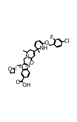 CC1CC(C2(C)C=CC=C(OCc3ccc(Cl)cc3F)N2)=CC(=O)N1Cc1nc2ccc(C(=O)O)cc2n1C[C@@H]1CCO1